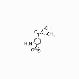 CCN(CC)C(=O)c1ccc([N+](=O)[O-])c(N)c1